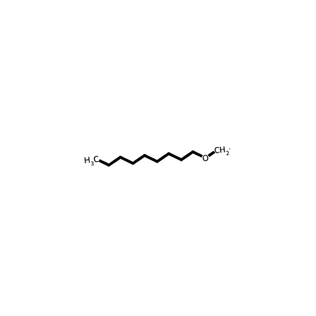 [CH2]OCCCCCCCCC